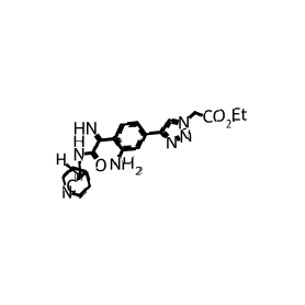 CCOC(=O)Cn1cc(-c2ccc(C(=N)C(=O)N[C@H]3CN4CCC3CC4)c(N)c2)nn1